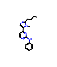 CCCCc1ncc(-c2ccnc(Nc3ccccc3)n2)n1C